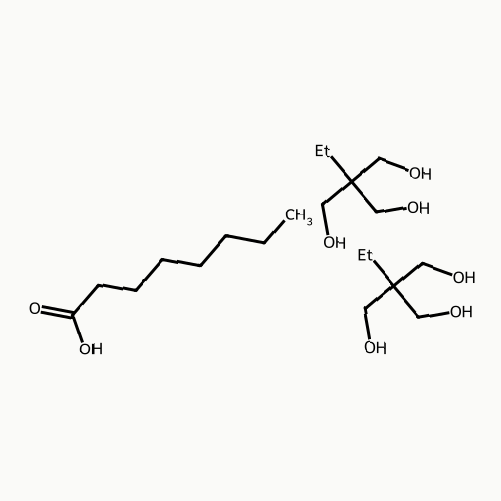 CCC(CO)(CO)CO.CCC(CO)(CO)CO.CCCCCCCC(=O)O